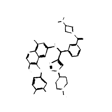 CN(C)C1CN(C(=O)c2cccc(C(Nc3cc(Cl)c4ncc(C#N)c(Nc5ccc(F)c(Cl)c5)c4c3)c3cn(C4CCN(C(C)(C)C)CC4)nn3)c2)C1